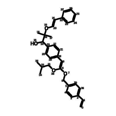 C=Cc1ccc(COC(=Cc2ccc(C(O)C(C)(C)OC=Cc3ccccc3)cc2)OCC(C)C)cc1